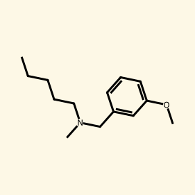 CCCCCN(C)Cc1cccc(OC)c1